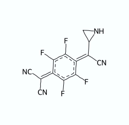 N#CC(C#N)=c1c(F)c(F)c(=C(C#N)C2CN2)c(F)c1F